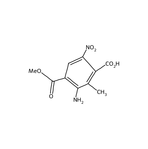 COC(=O)c1cc([N+](=O)[O-])c(C(=O)O)c(C)c1N